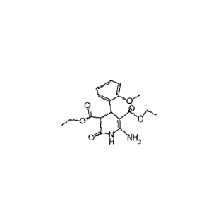 CCOC(=O)C1=C(N)NC(=O)C(C(=O)OCC)C1c1ccccc1OC